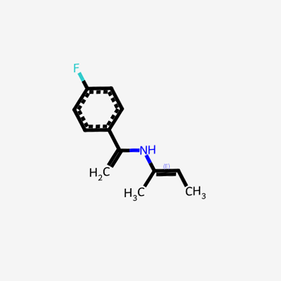 C=C(N/C(C)=C/C)c1ccc(F)cc1